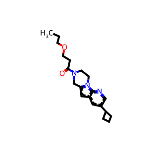 CCCOCCC(=O)N1CCn2c(cc3cc(C4CCC4)cnc32)C1